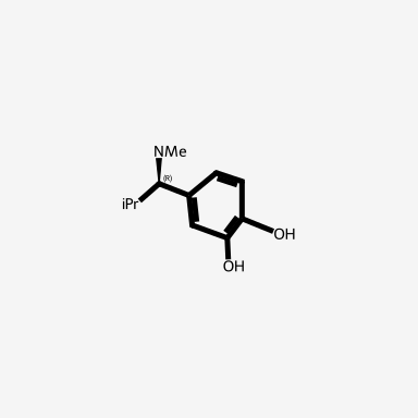 CN[C@@H](c1ccc(O)c(O)c1)C(C)C